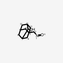 O=NCC12CC3CC(C1)C(O)C(C3)C2